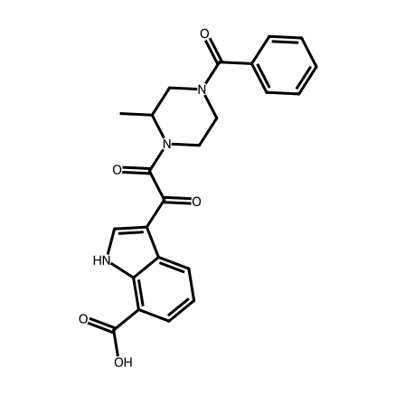 CC1CN(C(=O)c2ccccc2)CCN1C(=O)C(=O)c1c[nH]c2c(C(=O)O)cccc12